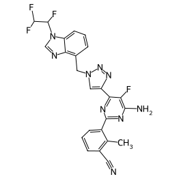 Cc1c(C#N)cccc1-c1nc(N)c(F)c(-c2cn(Cc3cccc4c3ncn4C(F)C(F)F)nn2)n1